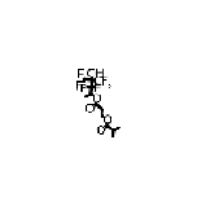 C=C(C)C(=O)OCCC(=O)OC(C)C(F)(F)C(O)(C(F)F)C(F)(F)F